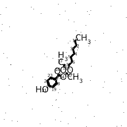 CCCCCCCCOC(C)(OCC)OC(=O)c1ccc(O)cc1